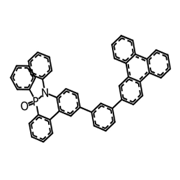 O=P1(c2ccccc2)c2ccccc2-c2cc(-c3cccc(-c4ccc5c6ccccc6c6ccccc6c5c4)c3)ccc2N1c1ccccc1